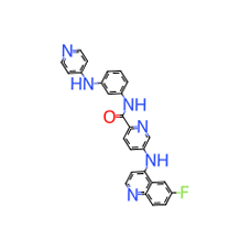 O=C(Nc1cccc(Nc2ccncc2)c1)c1ccc(Nc2ccnc3ccc(F)cc23)cn1